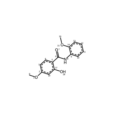 COc1ccc(C(=O)Nc2ccccc2OC)c(O)c1